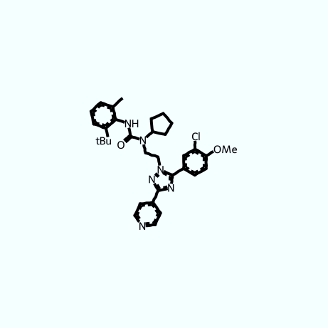 COc1ccc(-c2nc(-c3ccncc3)nn2CCN(C(=O)Nc2c(C)cccc2C(C)(C)C)C2CCCC2)cc1Cl